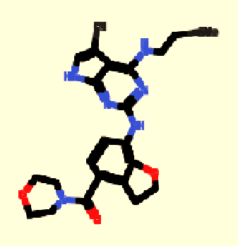 CSCCNc1nc(Nc2ccc(C(=O)N3CCOCC3)c3c2OCC3)nc2[nH]cc(C#N)c12